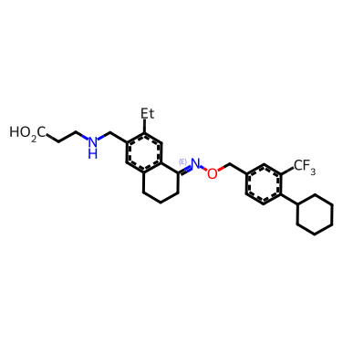 CCc1cc2c(cc1CNCCC(=O)O)CCC/C2=N\OCc1ccc(C2CCCCC2)c(C(F)(F)F)c1